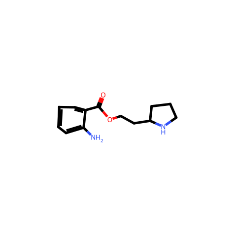 Nc1ccccc1C(=O)OCCC1CCCN1